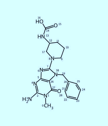 Cn1c(N)nc2nc(N3CCCC(NC(=O)O)C3)n(Cc3ccccc3)c2c1=O